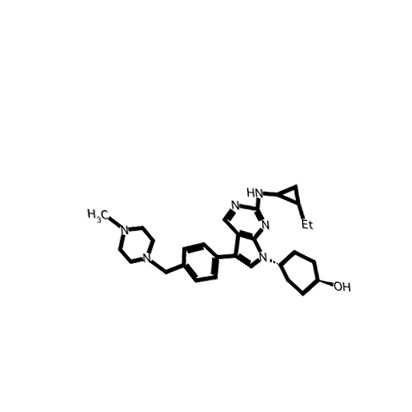 CCC1CC1Nc1ncc2c(-c3ccc(CN4CCN(C)CC4)cc3)cn([C@H]3CC[C@H](O)CC3)c2n1